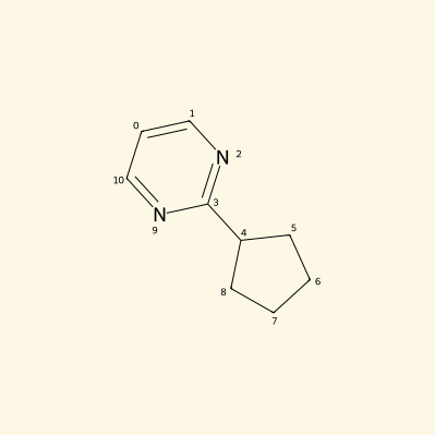 c1cnc(C2CCCC2)nc1